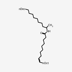 CCCCCCCC/C=C\CCCCCCCC(=O)N[C](C)CCCCCCCCCCCCCCCCCC